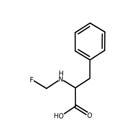 O=C(O)C(Cc1ccccc1)NCF